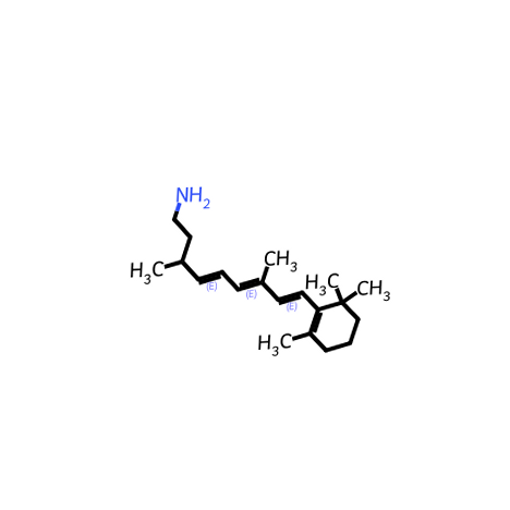 CC1=C(/C=C/C(C)=C/C=C/C(C)CCN)C(C)(C)CCC1